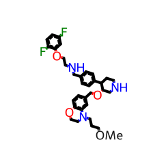 COCCCN1CCOc2ccc(COC3CNCCC3c3ccc(CNCCOc4cc(F)ccc4F)cc3)cc21